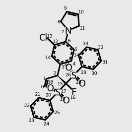 C=C[C@@H](c1ccc(N2CC=CC2)c(Cl)c1)C(F)(S(=O)(=O)c1ccccc1)S(=O)(=O)c1ccccc1